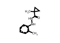 Cc1ccccc1NNC(=O)C1(C)CC1